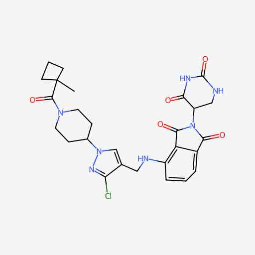 CC1(C(=O)N2CCC(n3cc(CNc4cccc5c4C(=O)N(C4CNC(=O)NC4=O)C5=O)c(Cl)n3)CC2)CCC1